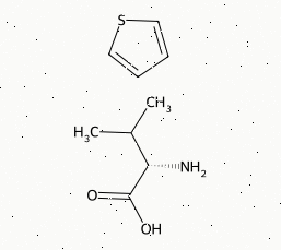 CC(C)[C@H](N)C(=O)O.c1ccsc1